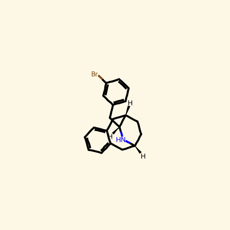 Brc1cccc(C[C@H]2N[C@@H]3CC[C@H]2Cc2ccccc2C3)c1